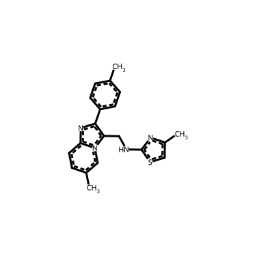 Cc1ccc(-c2nc3ccc(C)cn3c2CNc2nc(C)cs2)cc1